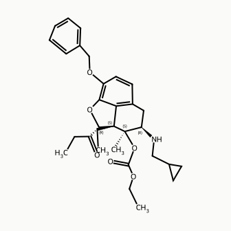 CCOC(=O)O[C@]1(C)[C@H](NCC2CC2)Cc2ccc(OCc3ccccc3)c3c2[C@@]1(CC)[C@H](C(=O)CC)O3